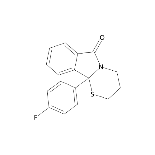 O=C1c2ccccc2C2(c3ccc(F)cc3)SCCCN12